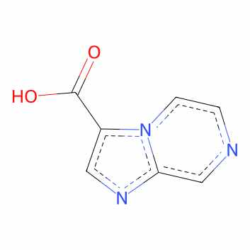 O=C(O)c1cnc2cnccn12